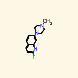 CN1CCN(c2ccc3ccc(F)nc3c2)CC1